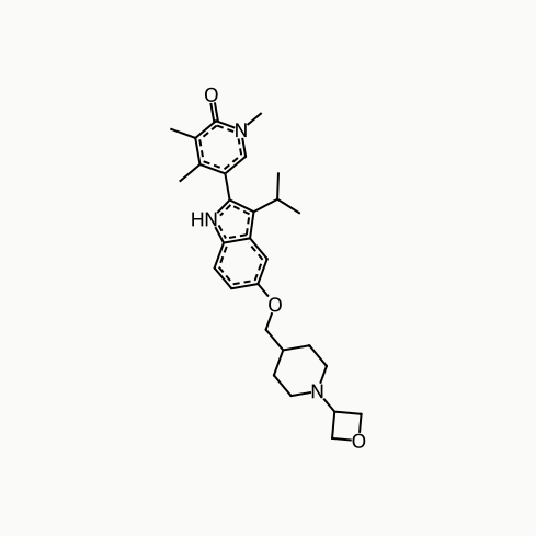 Cc1c(-c2[nH]c3ccc(OCC4CCN(C5COC5)CC4)cc3c2C(C)C)cn(C)c(=O)c1C